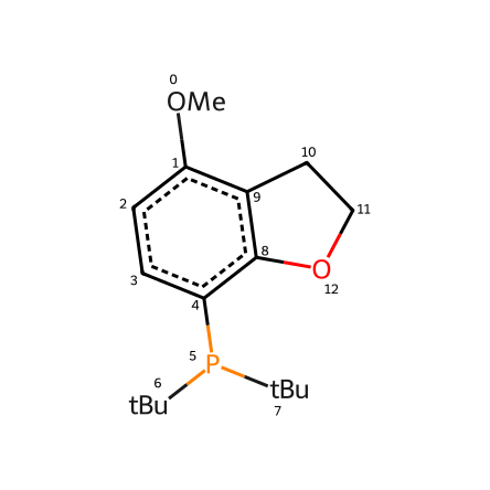 COc1ccc(P(C(C)(C)C)C(C)(C)C)c2c1CCO2